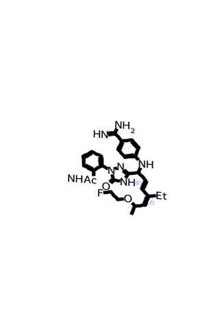 CCC(=C/C(C)OCCF)/C=C/C(Nc1ccc(C(=N)N)cc1)c1nn(-c2ccccc2NC(C)=O)c(=O)[nH]1